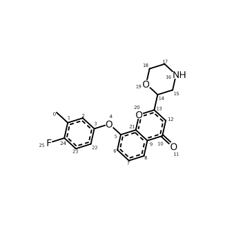 Cc1cc(Oc2cccc3c(=O)cc(C4CNCCO4)oc23)ccc1F